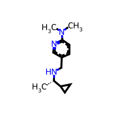 C[C@H](NCc1ccc(N(C)C)nc1)C1CC1